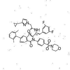 Cc1cccc(C)c1-c1ccc2c(=O)n(-c3ccc(S(=O)(=O)N4CCOCC4)cc3)c([C@H](Cc3cc(F)cc(F)c3)NC(=O)Cn3ccc(C4CC4)n3)nc2c1